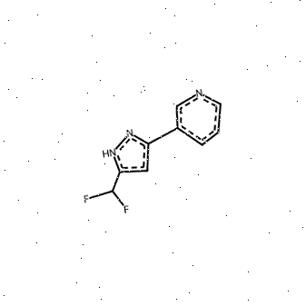 FC(F)c1cc(-c2cccnc2)n[nH]1